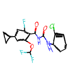 O=C(NC(=O)c1c(F)cc(C2CC2)cc1OC(F)F)Nc1ccccc1Cl